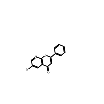 O=c1cc(-c2ccccc2)sc2ncc(Br)cc12